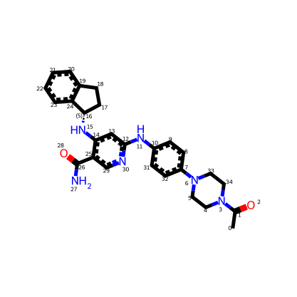 CC(=O)N1CCN(c2ccc(Nc3cc(N[C@H]4CCc5ccccc54)c(C(N)=O)cn3)cc2)CC1